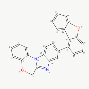 c1ccc2c(c1)OCc1nc3cc(-c4cccc5oc6ccccc6c45)ccc3n1-2